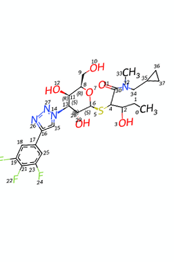 CCC(O)C(S[C@@H]1O[C@H](CO)[C@H](O)[C@H](n2cc(-c3cc(F)c(F)c(F)c3)nn2)[C@H]1O)C(=O)N(C)CC1CC1